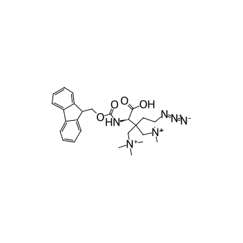 C[N+](C)(C)CC(CCN=[N+]=[N-])(C[N+](C)(C)C)[C@@H](NC(=O)OCC1c2ccccc2-c2ccccc21)C(=O)O